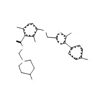 Cc1nc(COc2ccc(F)c(C(=O)NCN3CCC(C)CC3)c2F)sc1-c1ccc(C(C)(C)C)cc1